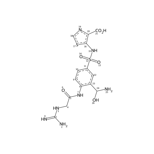 N=C(N)NCC(=O)Nc1ccc(S(=O)(=O)Nc2scnc2C(=O)O)cc1C(N)O